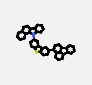 c1ccc2c(c1)-c1cccc3c(-c4ccc5sc6ccc(-n7c8ccccc8c8ccc9ccccc9c87)cc6c5c4)ccc-2c13